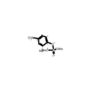 COP(=S)(OC)Oc1ccc([N+](=O)[O-])cc1.[Na+]